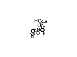 Cn1cc2c(C(=O)Nc3cc(F)cc4c3C(=O)N(C(C3CC3)C(C)(C)O)C4)cccc2n1